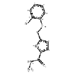 NNC(=O)c1ccc(COc2ccccc2Br)o1